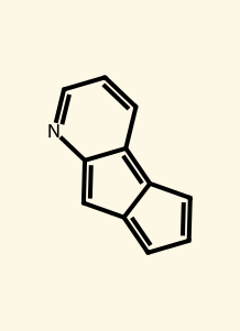 C1=CC2=c3cccnc3=CC2=C1